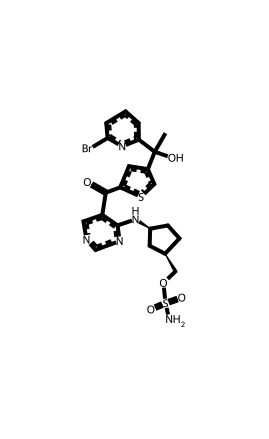 CC(O)(c1csc(C(=O)c2cncnc2N[C@H]2CC[C@@H](COS(N)(=O)=O)C2)c1)c1cccc(Br)n1